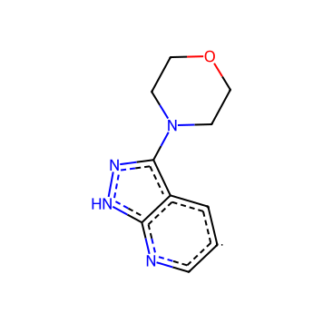 [c]1cnc2[nH]nc(N3CCOCC3)c2c1